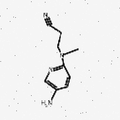 CN(CCC#N)c1ccc(N)cn1